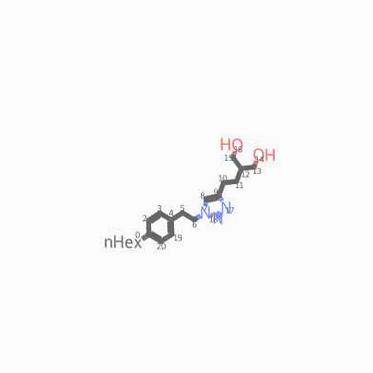 CCCCCCc1ccc(CCn2cc(CCC(CO)CO)nn2)cc1